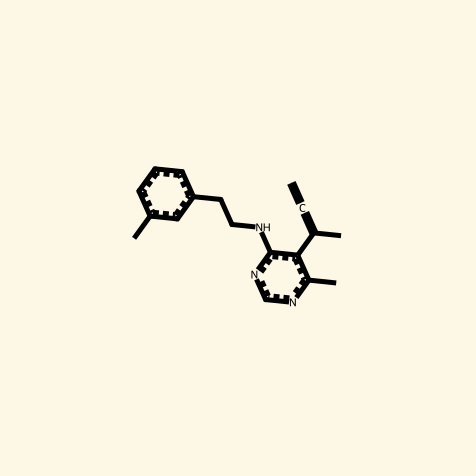 C=C=C(C)c1c(C)ncnc1NCCc1cccc(C)c1